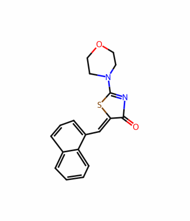 O=C1N=C(N2CCOCC2)S/C1=C\c1cccc2ccccc12